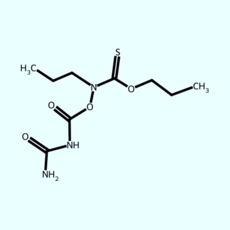 CCCOC(=S)N(CCC)OC(=O)NC(N)=O